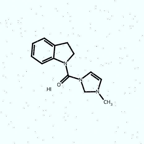 CN1C=CN(C(=O)N2CCc3ccccc32)C1.I